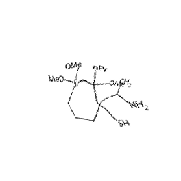 CCCC1(OC)C(S)(C(C)N)CCC[Si]1(OC)OC